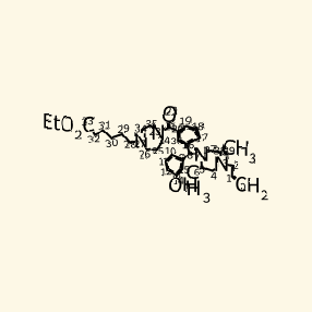 C=CCN1C[C@H](C)N([C@@H](c2cccc(O)c2)c2cccc(C(=O)N3CCCN(CCCCCC(=O)OCC)CC3)c2)C[C@H]1C